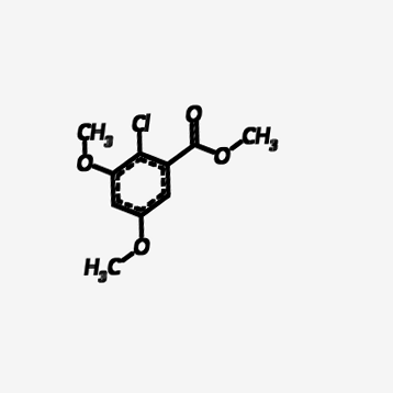 COC(=O)c1cc(OC)cc(OC)c1Cl